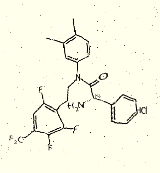 Cc1ccc(N(CCc2c(F)cc(C(F)(F)F)c(F)c2F)C(=O)[C@@H](N)c2ccccc2)cc1C.Cl